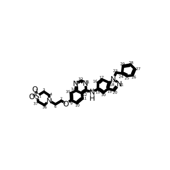 O=S1(=O)CCN(CCOc2ccc3c(Nc4ccc5c(cnn5Cc5ccccc5)c4)ncnc3c2)CC1